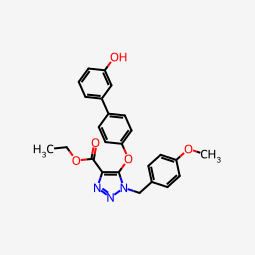 CCOC(=O)c1nnn(Cc2ccc(OC)cc2)c1Oc1ccc(-c2cccc(O)c2)cc1